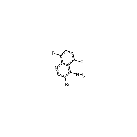 Nc1c(Br)cnc2c(F)ccc(F)c12